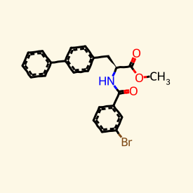 COC(=O)[C@H](Cc1ccc(-c2ccccc2)cc1)NC(=O)c1cccc(Br)c1